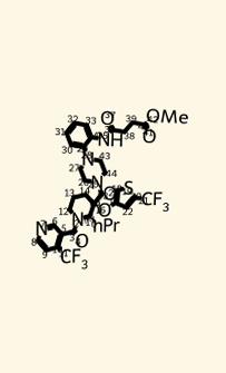 CCC[C@H]1N(C(=O)c2cnccc2C(F)(F)F)CCC[C@@]1(Oc1csc(C(F)(F)F)c1)C(=O)N1CCN(c2ccccc2NC(=O)CCC(=O)OC)CC1